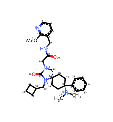 COc1ncccc1CNC(=O)CN1C[C@]2(CC[C@](c3ccccc3)(N(C)C)CC2)N(CC2CCC2)C1=O